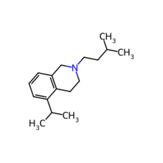 CC(C)CCN1CCc2c(cccc2C(C)C)C1